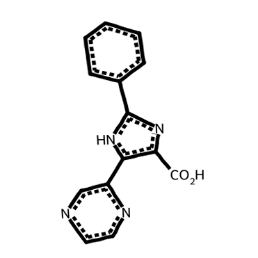 O=C(O)c1nc(-c2ccccc2)[nH]c1-c1cnccn1